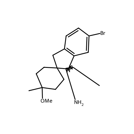 COC1(C)CCC2(CC1)Cc1ccc(Br)cc1C21N=C(C)C(N)=N1